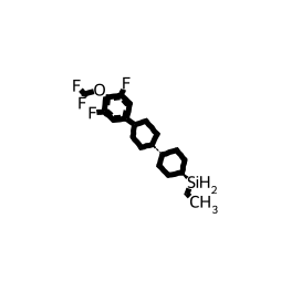 CC[SiH2][C@H]1CC[C@H](C2CCC(c3cc(F)c(OC(F)F)c(F)c3)CC2)CC1